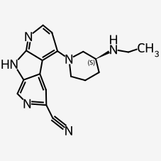 CCN[C@H]1CCCN(c2ccnc3[nH]c4cnc(C#N)cc4c23)C1